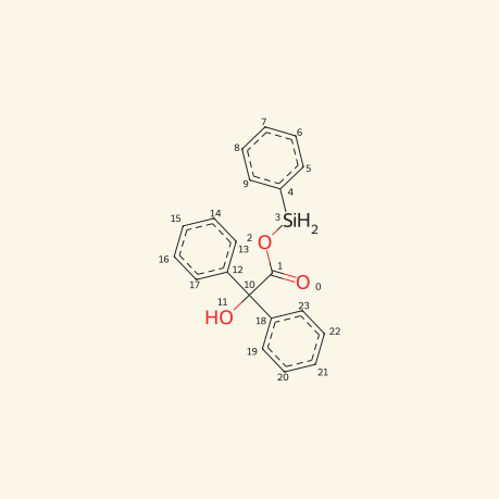 O=C(O[SiH2]c1ccccc1)C(O)(c1ccccc1)c1ccccc1